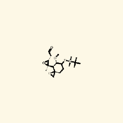 CO[C@@H]1C(O[Si](C)(C)C(C)(C)C)CC[C@]2(CO2)[C@H]1[C@@]1(C)O[C@@H]1CC=O